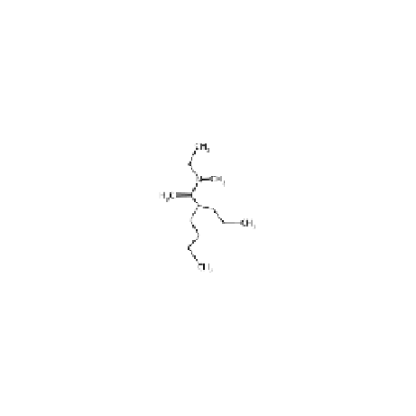 C=C(C(CCC)CCCC)N(C)CC